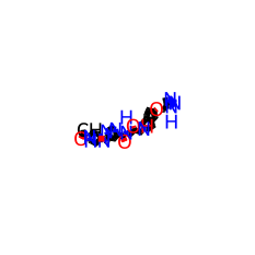 CC(=O)N1CCC(Nc2cc(C(=O)NCC(O)CN3CCc4cc(OCc5cnn[nH]5)ccc4C3)ncn2)CC1